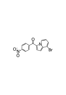 O=C(c1ccc([N+](=O)[O-])cc1)c1ccc2c(Br)cccn12